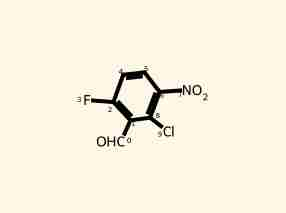 O=Cc1c(F)ccc([N+](=O)[O-])c1Cl